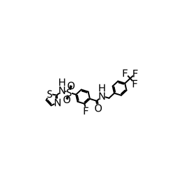 O=C(NCc1ccc(C(F)(F)F)cc1)c1ccc(S(=O)(=O)Nc2nccs2)cc1F